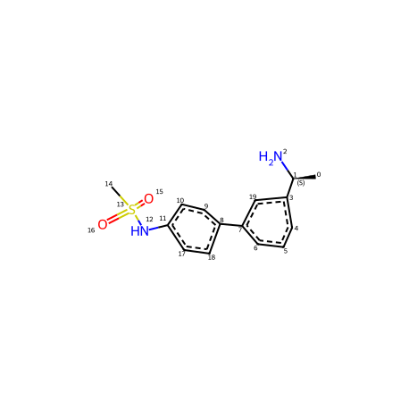 C[C@H](N)c1cccc(-c2ccc(NS(C)(=O)=O)cc2)c1